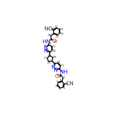 N#Cc1ccccc1CC(=O)Nc1ccc(C2CCC(c3ccc(NC(=O)Cc4ccccc4C#N)nn3)C2)nn1